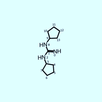 N=C(NC1CCCC1)NC1CCCC1